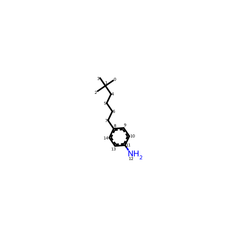 CC(C)(C)CCCCc1ccc(N)cc1